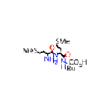 CC[C@H](C)[C@H](NC(=O)[C@H](CCSC)NC(=O)[C@@H](N)CCSC)C(=O)O